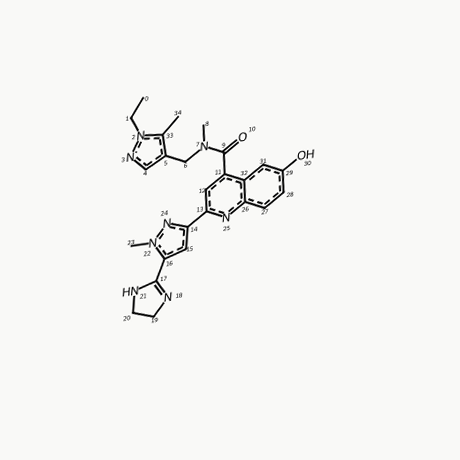 CCn1ncc(CN(C)C(=O)c2cc(-c3cc(C4=NCCN4)n(C)n3)nc3ccc(O)cc23)c1C